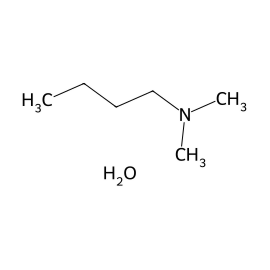 CCCCN(C)C.O